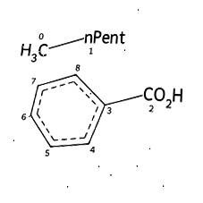 CCCCCC.O=C(O)c1ccccc1